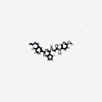 C=C/C=C\c1cc(-c2nc3c(c(N(C)CC(=O)Nc4ccc(OC)nc4)n2)CCC3)ncc1C